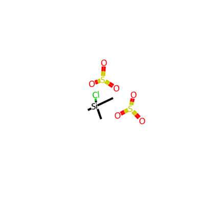 C[Si](C)(C)Cl.O=S(=O)=O.O=S(=O)=O